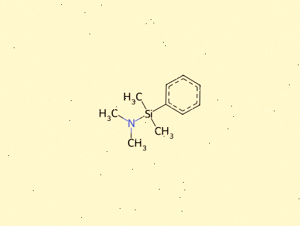 CN(C)[Si](C)(C)c1ccccc1